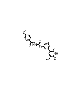 CCc1cc(-c2cncc(OC(=O)NCC(=O)c3ccc(OC)cc3)c2)c(C)[nH]c1=O